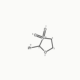 CC(C)C1OCCS1(=O)=O